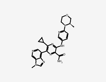 C[C@@H]1COCCN1c1ccc(Nc2nc(C3CC3)c(-c3cncc4c3ncn4C)nc2C(N)=O)cn1